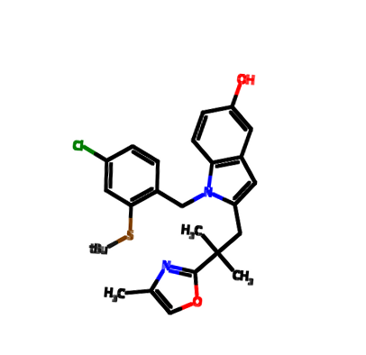 Cc1coc(C(C)(C)Cc2cc3cc(O)ccc3n2Cc2ccc(Cl)cc2SC(C)(C)C)n1